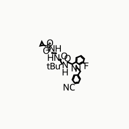 CC(C)(C)[C@H](NC(=O)c1nn(Cc2ccc(C#N)cc2)c2c(F)cccc12)C(=O)NCCNS(=O)(=O)C1CC1